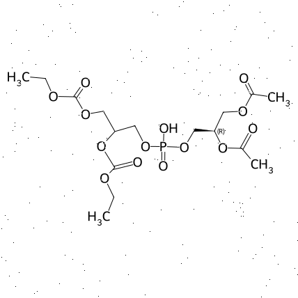 CCOC(=O)OCC(COP(=O)(O)OC[C@@H](COC(C)=O)OC(C)=O)OC(=O)OCC